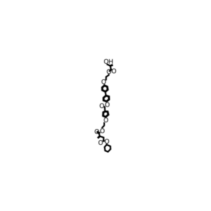 C=C(CO)C(=O)OCCCOc1ccc(-c2ccc(OC(=O)c3ccc(OCCCOC(=O)C(=C)CC(=O)OC4CCCCC4)cc3)cc2)cc1